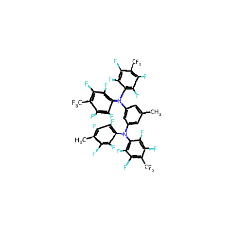 Cc1cc(N(c2c(F)c(F)c(C)c(F)c2F)c2c(F)c(F)c(C(F)(F)F)c(F)c2F)cc(N(c2c(F)c(F)c(C(F)(F)F)c(F)c2F)c2c(F)c(F)c(C(F)(F)F)c(F)c2F)c1